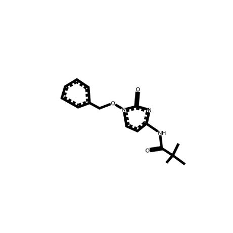 CC(C)(C)C(=O)Nc1ccn(OCc2ccccc2)c(=O)n1